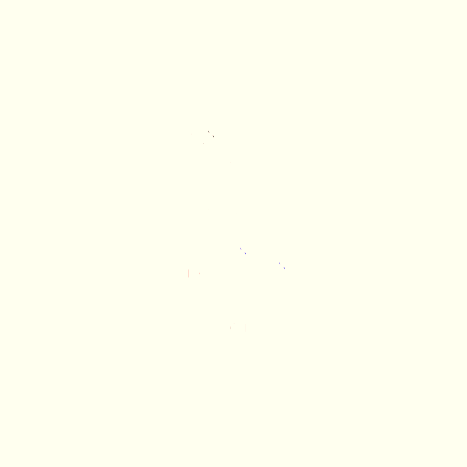 Cc1cnn(-c2ccc([N+](=O)[O-])cc2)c1O